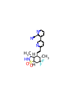 C[C@H]1NS(=O)(=O)[C@@H]2CC(F)(F)[C@@H](C)[C@H](/C=C/c3ccc(-c4cccnc4C#N)cn3)[C@@H]21